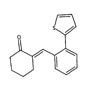 O=C1CCCC/C1=C\c1ccccc1-c1cccs1